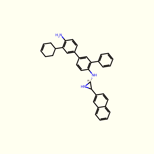 Nc1ccc(-c2ccc(N[C@H]3NC3c3ccc4ccccc4c3)c(-c3ccccc3)c2)cc1C1CC=CCC1